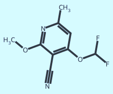 COc1nc(C)cc(OC(F)F)c1C#N